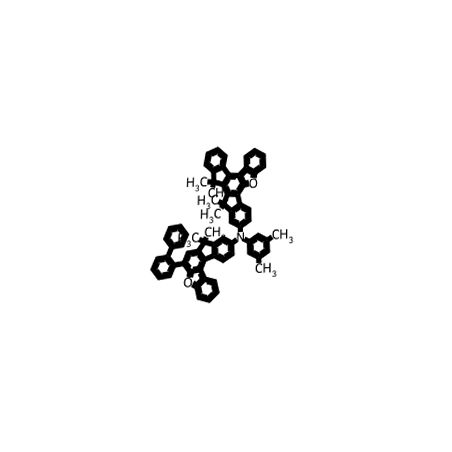 Cc1cc(C)cc(N(c2ccc3c(c2)C(C)(C)c2cc(-c4ccccc4-c4ccccc4)c4oc5ccccc5c4c2-3)c2ccc3c(c2)C(C)(C)c2c4c(c5c(oc6ccccc65)c2-3)-c2ccccc2C4(C)C)c1